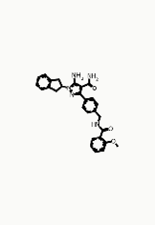 COc1ccccc1C(=O)NCc1ccc(-c2nn(C3Cc4ccccc4C3)c(N)c2C(N)=O)cc1